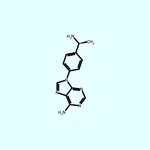 C[C@H](N)c1ccc(-n2cnc3c(N)ncnc32)cc1